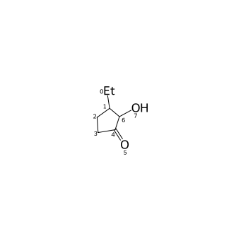 CCC1CCC(=O)C1O